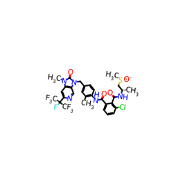 Cc1cc(Cn2c(=O)n(C)c3cc(C(F)(C(F)(F)F)C(F)(F)F)ncc32)ccc1NC(=O)c1cccc(Cl)c1C(=O)N[C@@H](C)C[S+](C)[O-]